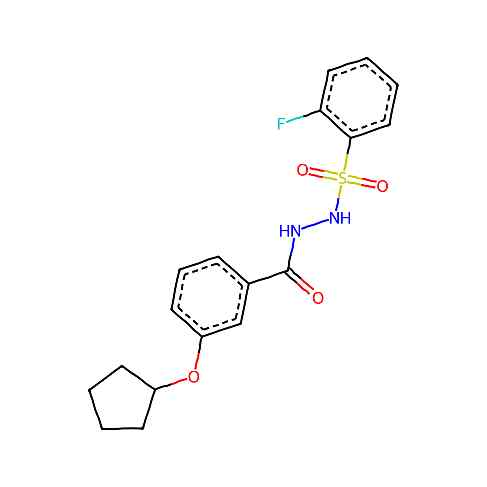 O=C(NNS(=O)(=O)c1ccccc1F)c1cccc(OC2CCCC2)c1